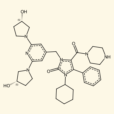 O=C(c1c(-c2ccccc2)n(C2CCCCC2)c(=O)n1Cc1cc(N2CC[C@H](O)C2)nc(N2CC[C@H](O)C2)c1)N1CCNCC1